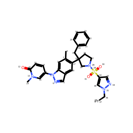 Cc1cc2c(cnn2-c2ccc(=O)n(C)c2)cc1C1(Cc2ccccc2)CCN(S(=O)(=O)c2cnn(CC(C)C)c2)C1